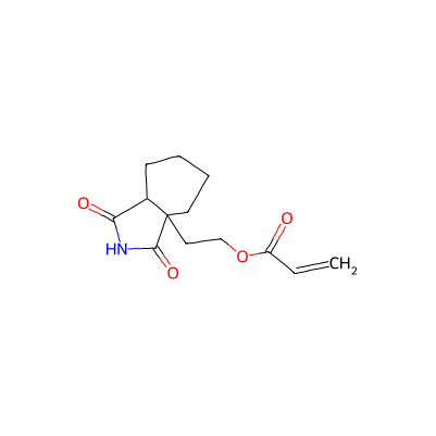 C=CC(=O)OCCC12CCCCC1C(=O)NC2=O